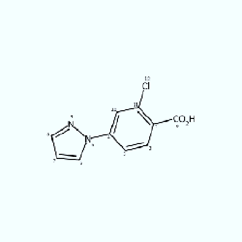 O=C(O)c1ccc(-n2cccn2)cc1Cl